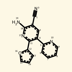 N#Cc1cc(-c2ccccn2)c(-c2ccco2)nc1N